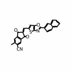 Cc1cc2c(cc1C#N)C(=O)/C(=C\c1cc3oc(-c4ccc5ccccc5c4)nc3s1)C2=O